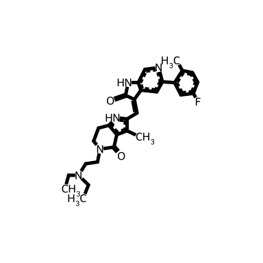 CCN(CC)CCN1CCc2[nH]c(/C=C3\C(=O)Nc4cnc(-c5cc(F)ccc5C)cc43)c(C)c2C1=O